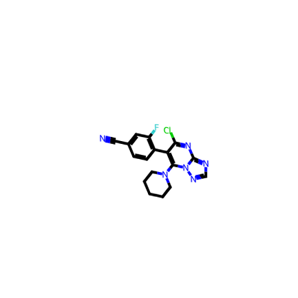 N#Cc1ccc(-c2c(Cl)nc3ncnn3c2N2CCCCC2)c(F)c1